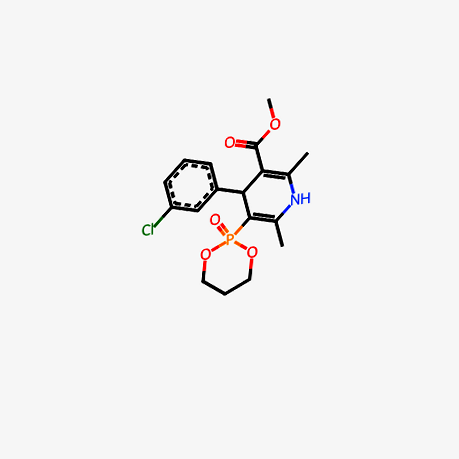 COC(=O)C1=C(C)NC(C)=C(P2(=O)OCCCO2)C1c1cccc(Cl)c1